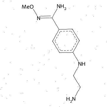 CON=C(N)c1ccc(NCCN)cc1